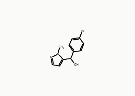 Cn1nccc1C(O)c1ccc(Br)cc1